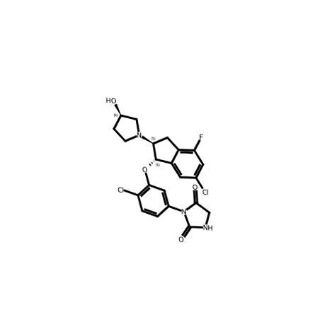 O=C1CNC(=O)N1c1ccc(Cl)c(O[C@H]2c3cc(Cl)cc(F)c3C[C@@H]2N2CC[C@@H](O)C2)c1